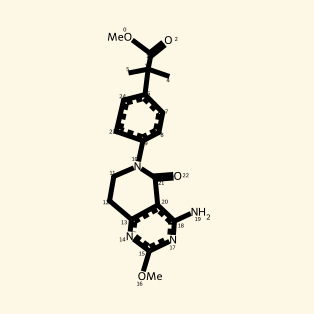 COC(=O)C(C)(C)c1ccc(N2CCc3nc(OC)nc(N)c3C2=O)cc1